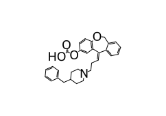 O=C(O)Oc1ccc2c(c1)C(=CCCN1CCC(Cc3ccccc3)CC1)c1ccccc1CO2